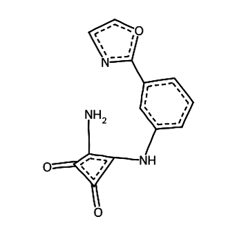 Nc1c(Nc2cccc(-c3ncco3)c2)c(=O)c1=O